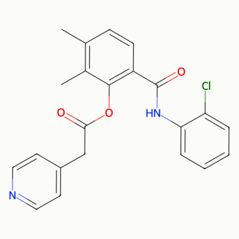 Cc1ccc(C(=O)Nc2ccccc2Cl)c(OC(=O)Cc2ccncc2)c1C